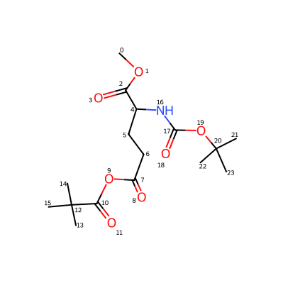 COC(=O)C(CCC(=O)OC(=O)C(C)(C)C)NC(=O)OC(C)(C)C